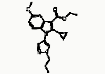 CCCn1cc(-n2c(C3CC3)c(C(=O)OCC)c3cc(OC)ccc32)cn1